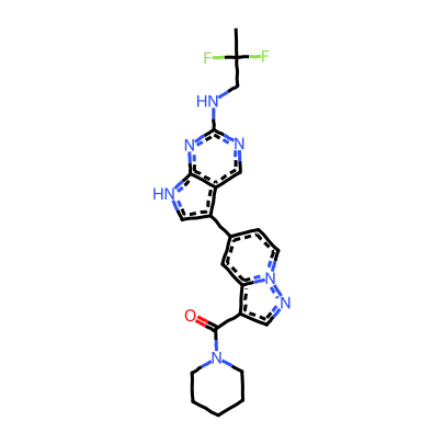 CC(F)(F)CNc1ncc2c(-c3ccn4ncc(C(=O)N5CCCCC5)c4c3)c[nH]c2n1